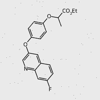 CCOC(=O)C(C)Oc1ccc(Oc2cnc3cc(F)ccc3c2)cc1